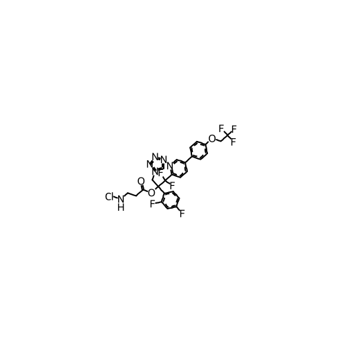 O=C(CCNCl)OC(Cn1cnnn1)(c1ccc(F)cc1F)C(F)(F)c1ccc(-c2ccc(OCC(F)(F)F)cc2)cn1